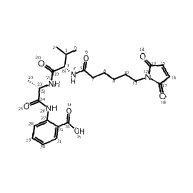 CC(C)[C@H](NC(=O)CCCCCN1C(=O)C=CC1=O)C(=O)N[C@@H](C)C(=O)Nc1ccccc1C(=O)O